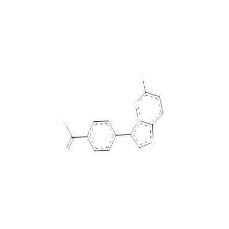 NC(=O)c1ccc(-c2cnc3ccc(Cl)nn23)cc1